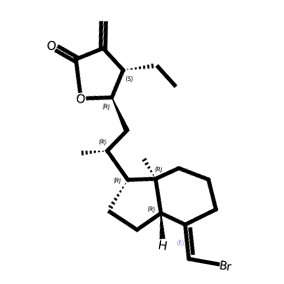 C=C1C(=O)O[C@H](C[C@@H](C)[C@H]2CC[C@H]3/C(=C/Br)CCC[C@]23C)[C@H]1CC